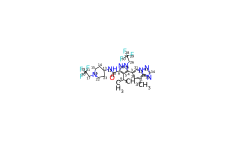 Cc1cc(-c2c(C(C)C)c(C(=O)NC3CCN(CC(F)(F)F)CC3)nn2CC(F)(F)F)cn2ncnc12